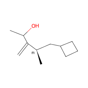 C=C(C(C)O)[C@H](C)CC1CCC1